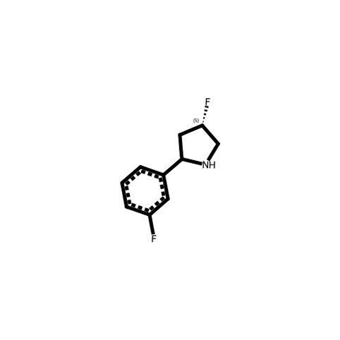 Fc1cccc(C2C[C@H](F)CN2)c1